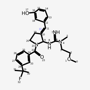 COCCN(C)C(=N)NC1/C(=C/c2cccc(O)c2)CCN1C(=O)c1cccc(C(C)(C)F)c1